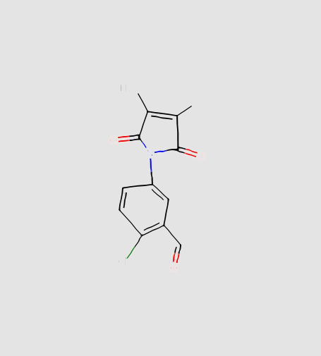 CC1=C(C)C(=O)N(c2ccc(Cl)c(C=O)c2)C1=O